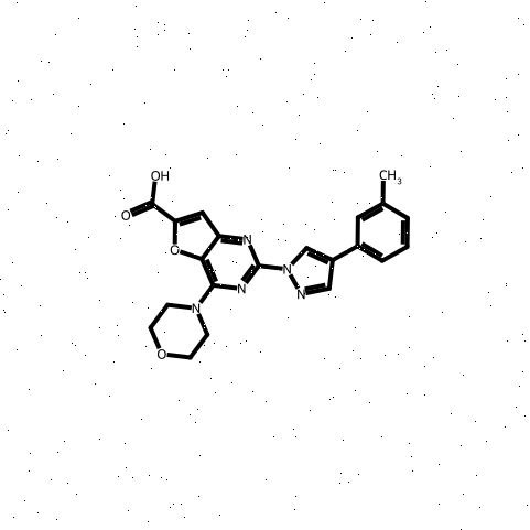 Cc1cccc(-c2cnn(-c3nc(N4CCOCC4)c4oc(C(=O)O)cc4n3)c2)c1